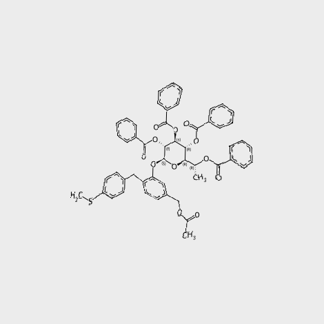 CSc1ccc(Cc2ccc(COC(C)=O)cc2O[C@@H]2O[C@H]([C@@H](C)OC(=O)c3ccccc3)[C@@H](OC(=O)c3ccccc3)[C@H](OC(=O)c3ccccc3)[C@H]2OC(=O)c2ccccc2)cc1